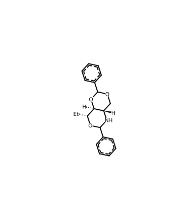 CC[C@H]1OC(c2ccccc2)N[C@H]2COC(c3ccccc3)O[C@@H]21